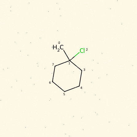 [CH2]C1(Cl)CCCCC1